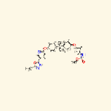 Cc1nnc(-c2ccc(Oc3ccc(C(C)(C)c4ccc(OC5CC(NC(=O)OC(C)(C)C)C5)cc4)cc3)nc2)o1